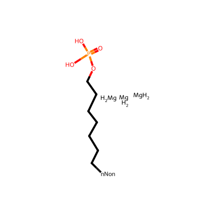 CCCCCCCCCCCCCCCCOP(=O)(O)O.[MgH2].[MgH2].[MgH2]